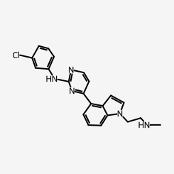 CNCCn1ccc2c(-c3ccnc(Nc4cccc(Cl)c4)n3)cccc21